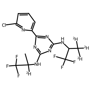 [2H]C([2H])([2H])C(Nc1nc(NC([2H])(C)C(F)(F)F)nc(-c2cccc(Cl)n2)n1)C(F)(F)F